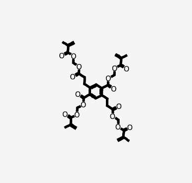 C=C(C)C(=O)OCOC(=O)CCc1cc(C(=O)OCOC(=O)C(=C)C)c(CCC(=O)OCOC(=O)C(=C)C)cc1C(=O)OCOC(=O)C(=C)C